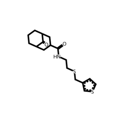 O=C(NCCSCc1ccsc1)C1CC2CCCC(C1)C2=O